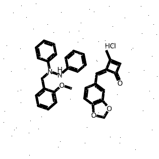 CC1=CC(=O)C1=Cc1ccc2c(c1)OCO2.COc1ccccc1CN(Nc1ccccc1)c1ccccc1.Cl